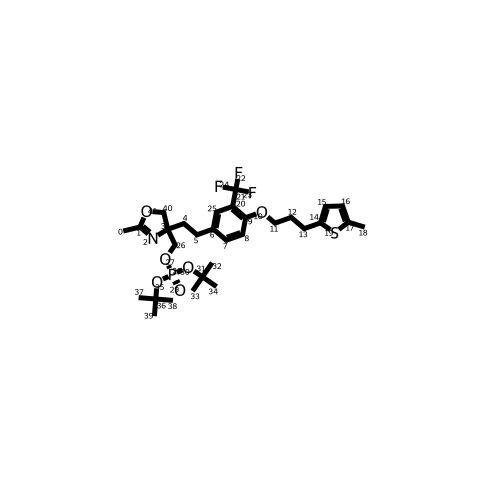 CC1=NC(CCc2ccc(OCCCc3ccc(C)s3)c(C(F)(F)F)c2)(COP(=O)(OC(C)(C)C)OC(C)(C)C)CO1